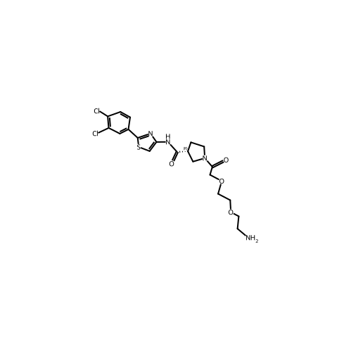 NCCOCCOCC(=O)N1CC[C@@H](C(=O)Nc2csc(-c3ccc(Cl)c(Cl)c3)n2)C1